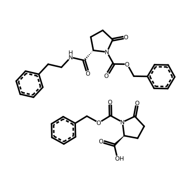 O=C(NCCc1ccccc1)[C@@H]1CCC(=O)N1C(=O)OCc1ccccc1.O=C(O)[C@@H]1CCC(=O)N1C(=O)OCc1ccccc1